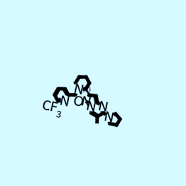 Cc1cn2nc([C@@H]3CCCCN3C(=O)c3cccc(C(F)(F)F)n3)cc2nc1N1CCCC1